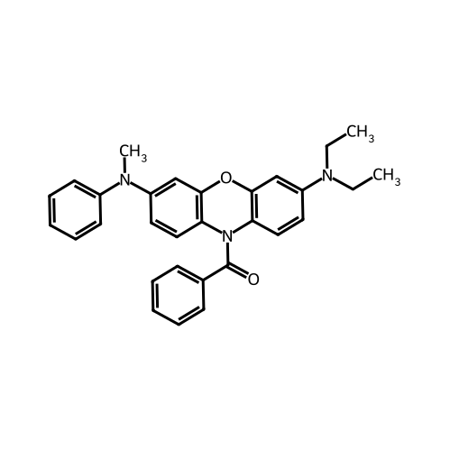 CCN(CC)c1ccc2c(c1)Oc1cc(N(C)c3ccccc3)ccc1N2C(=O)c1ccccc1